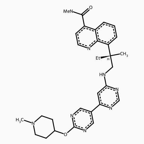 CC[C@@](C)(CNc1cc(-c2cnc(OC3CCN(C)CC3)nc2)ncn1)c1cccc2c(C(=O)NC)ccnc12